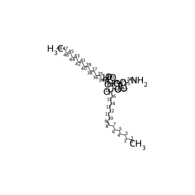 CCCCCCCC/C=C\CCCCCCCC(=O)C(OP(=O)(O)OCCN)[C@H](CO)OC(=O)CCCCCCCCCCCCCCC